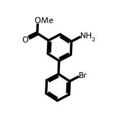 COC(=O)c1cc(N)cc(-c2ccccc2Br)c1